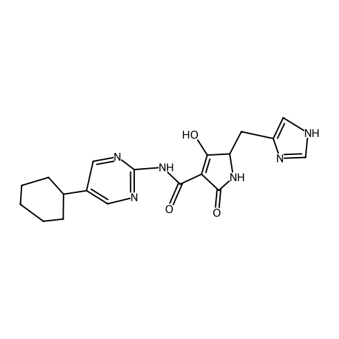 O=C(Nc1ncc(C2CCCCC2)cn1)C1=C(O)C(Cc2c[nH]cn2)NC1=O